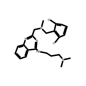 CN(C)CCCNc1nc(CN(C)Cc2c(Cl)cccc2Cl)nc2ccccc12